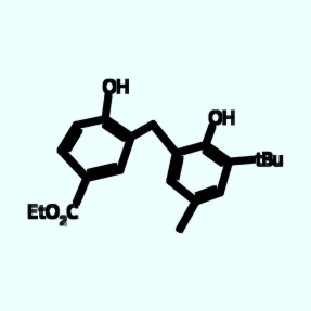 CCOC(=O)c1ccc(O)c(Cc2cc(C)cc(C(C)(C)C)c2O)c1